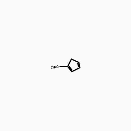 [O]=[Zr][C]1=CC=CC1